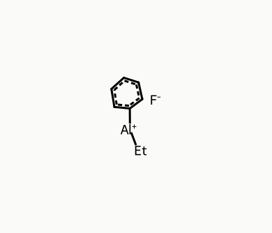 C[CH2][Al+][c]1ccccc1.[F-]